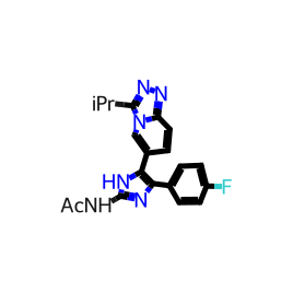 CC(=O)Nc1nc(-c2ccc(F)cc2)c(-c2ccc3nnc(C(C)C)n3c2)[nH]1